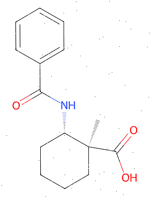 C[C@]1(C(=O)O)CCCC[C@@H]1NC(=O)c1ccccc1